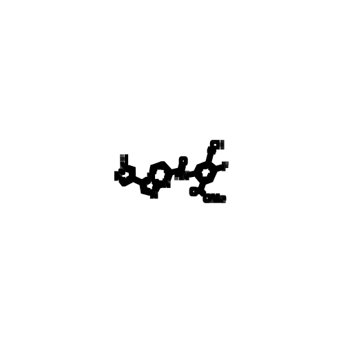 C#Cc1cc(NC(=O)c2ccn3c(-c4cn[nH]c4)cnc3n2)c(C(=O)OC)cc1F